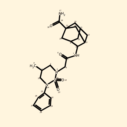 CC1CN(CC(=O)NC2C3CC4CC2CC(C(N)=O)(C4)C3)S(=O)(=O)N(c2ccccc2)C1